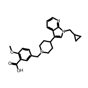 COc1ccc(CN2CCC(c3cn(CC4CC4)c4ncccc34)CC2)cc1C(=O)O